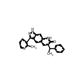 Cc1ncccc1-c1n[nH]c2cc3[nH]c(=O)c(C(C)c4ccccc4)cc3cc12